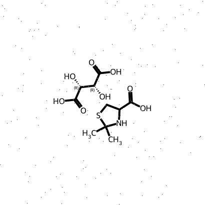 CC1(C)NC(C(=O)O)CS1.O=C(O)[C@H](O)[C@@H](O)C(=O)O